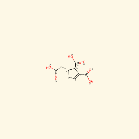 O=C(O)C[C@H]1CC=C(C(=O)O)[C@@H]1C(=O)O